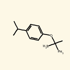 BC(C)(P)Oc1ccc(C(C)C)cc1